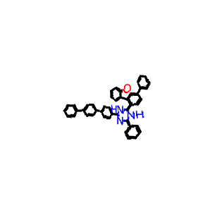 c1ccc(-c2ccc(-c3ccc(C4=NC(c5ccccc5)NC(c5ccc(-c6ccccc6)c6oc7ccccc7c56)N4)cc3)cc2)cc1